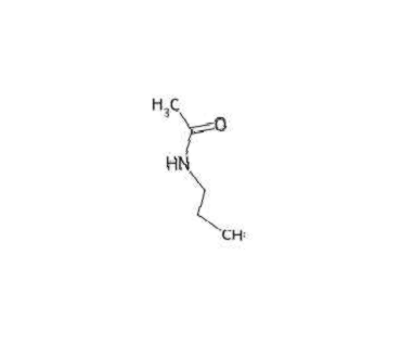 [CH]CCNC(C)=O